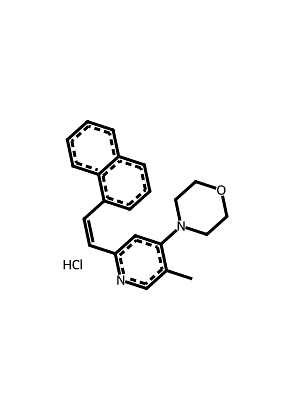 Cc1cnc(/C=C\c2cccc3ccccc23)cc1N1CCOCC1.Cl